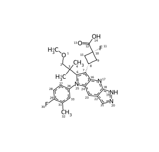 COCC(C)(C)c1c([C@H]2C[C@](F)(C(=O)O)C2)c2nc3[nH]ncc3cc2n1-c1ccc(F)c(C)c1